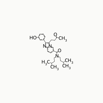 CC(=O)CCc1c(-c2cccc(O)c2)nc2ccc(C(=O)N(CCC(C)C)CCC(C)C)cn12